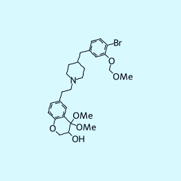 COCOc1cc(CC2CCN(CCc3ccc4c(c3)C(OC)(OC)C(O)CO4)CC2)ccc1Br